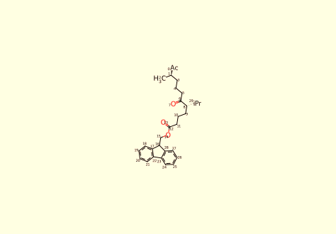 CC(=O)[C@H](C)CCCC(=O)[C@@H](CCCC(=O)OCC1c2ccccc2-c2ccccc21)C(C)C